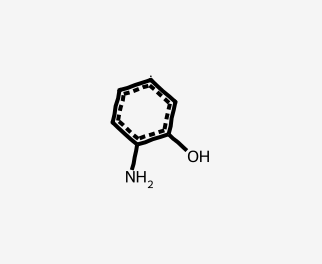 Nc1cc[c]cc1O